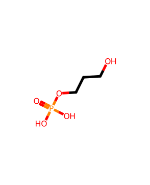 O=P(O)(O)OCCCO